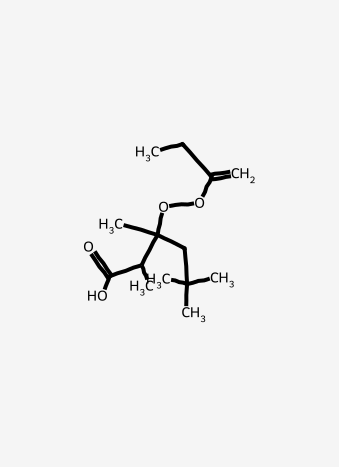 C=C(CC)OOC(C)(CC(C)(C)C)C(C)C(=O)O